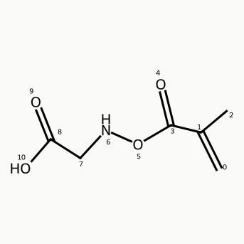 C=C(C)C(=O)ONCC(=O)O